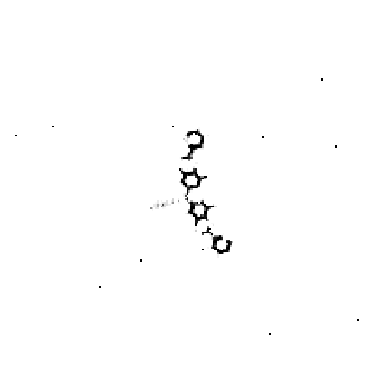 C/C(=N\c1c(C)cc(Cc2cc(C)c(/N=C(\C)c3ccccn3)c(C)c2)cc1C)c1ccccn1.[Br-].[Br-].[Br-].[Br-].[Pd+2].[Pd+2]